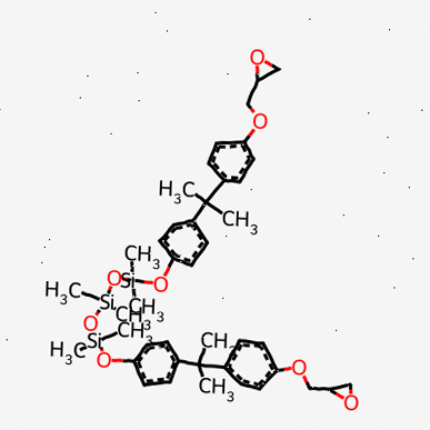 CC(C)(c1ccc(OCC2CO2)cc1)c1ccc(O[Si](C)(C)O[Si](C)(C)O[Si](C)(C)Oc2ccc(C(C)(C)c3ccc(OCC4CO4)cc3)cc2)cc1